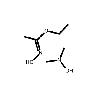 CCOC(C)=NO.CN(C)O